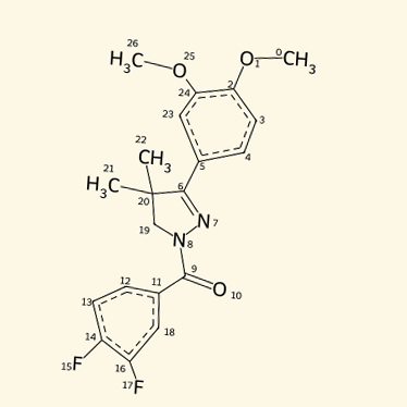 COc1ccc(C2=NN(C(=O)c3ccc(F)c(F)c3)CC2(C)C)cc1OC